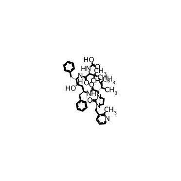 CCC(C)[C@@H](C(=O)N[C@@H](Cc1ccccc1)C[C@H](O)[C@H](Cc1ccccc1)NC(=O)[C@@H](NC(=O)O)C(C)(C)C)N1CCN(Cc2cccnc2C)C1=O